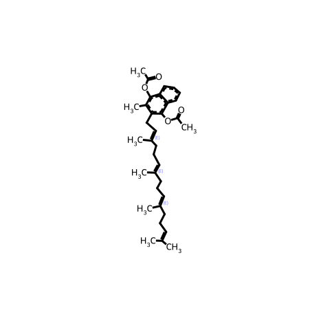 CC(=O)Oc1c(C)c(C/C=C(\C)CC/C=C(\C)CC/C=C(\C)CCC=C(C)C)c(OC(C)=O)c2ccccc12